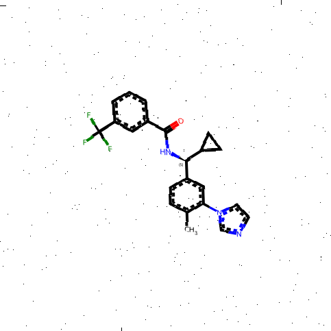 Cc1ccc([C@@H](NC(=O)c2cccc(C(F)(F)F)c2)C2CC2)cc1-n1ccnc1